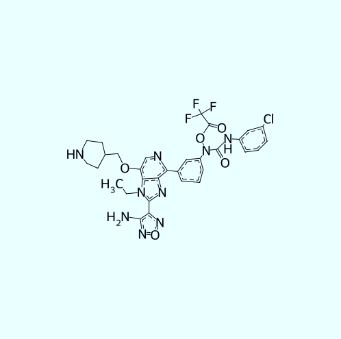 CCn1c(-c2nonc2N)nc2c(-c3cccc(N(OC(=O)C(F)(F)F)C(=O)Nc4cccc(Cl)c4)c3)ncc(OCC3CCNCC3)c21